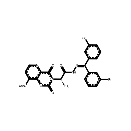 COc1ccnc2c(=O)n([C@@H](C)C(=O)NN=C(c3cccc(C(C)C)c3)c3cccc(C(C)C)c3)c(=O)oc12